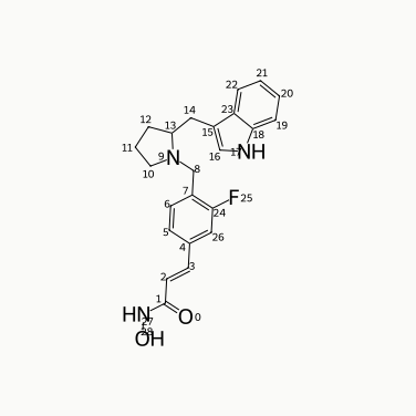 O=C(C=Cc1ccc(CN2CCCC2Cc2c[nH]c3ccccc23)c(F)c1)NO